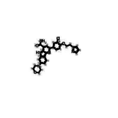 NC(=O)c1cc(-c2ccc(OCCn3cccn3)c(Cl)c2)nc2c1[nH]c1cc(N3CCOCC3)ccc12